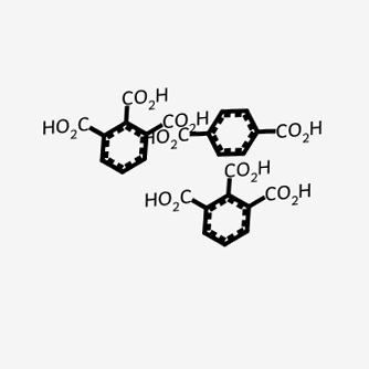 O=C(O)c1ccc(C(=O)O)cc1.O=C(O)c1cccc(C(=O)O)c1C(=O)O.O=C(O)c1cccc(C(=O)O)c1C(=O)O